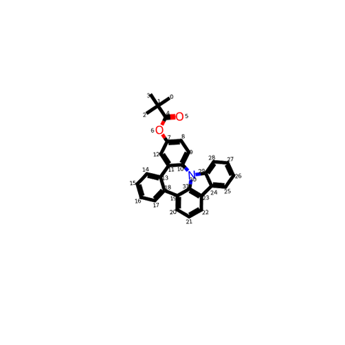 CC(C)(C)C(=O)Oc1ccc2c(c1)-c1ccccc1-c1cccc3c4ccccc4n-2c13